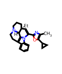 CC[C@@]12C=C(c3nc(C)c(C4CC4)o3)n3c4c(c5ccccc53)CCN(CCC1)[C@H]42